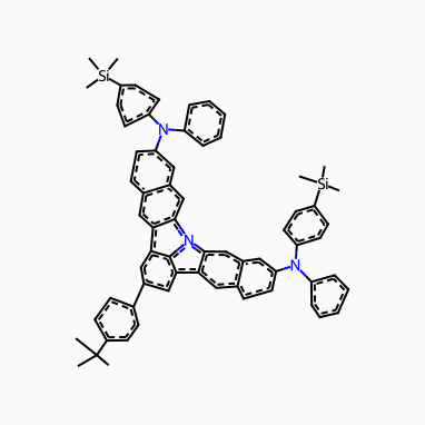 CC(C)(C)c1ccc(-c2cc3c4cc5ccc(N(c6ccccc6)c6ccc([Si](C)(C)C)cc6)cc5cc4n4c5cc6cc(N(c7ccccc7)c7ccc([Si](C)(C)C)cc7)ccc6cc5c(c2)c34)cc1